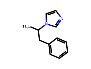 CC(Cc1ccccc1)n1ccnc1